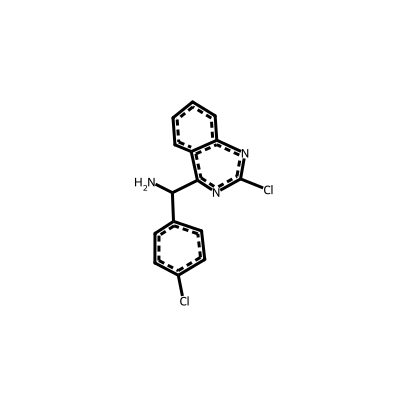 NC(c1ccc(Cl)cc1)c1nc(Cl)nc2ccccc12